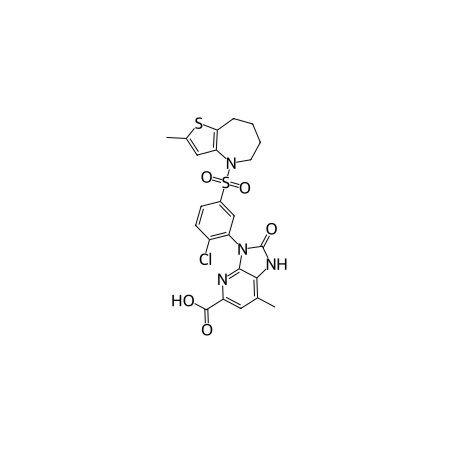 Cc1cc2c(s1)CCCCN2S(=O)(=O)c1ccc(Cl)c(-n2c(=O)[nH]c3c(C)cc(C(=O)O)nc32)c1